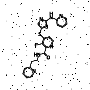 O=C(NCCc1ccccn1)c1nccc(Sc2cnc(Nc3ccccn3)s2)c1F